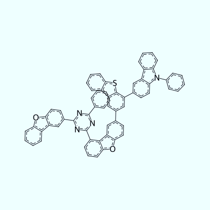 c1ccc(-c2nc(-c3ccc4oc5ccccc5c4c3)nc(-c3cccc4oc5ccc(-c6cc(-c7ccc8c(c7)c7ccccc7n8-c7ccccc7)c7sc8ccccc8c7c6)cc5c34)n2)cc1